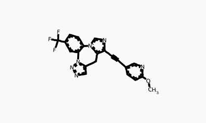 COc1ccc(C#Cc2ncn3c2Cc2cnnn2-c2cc(C(F)(F)F)ccc2-3)cn1